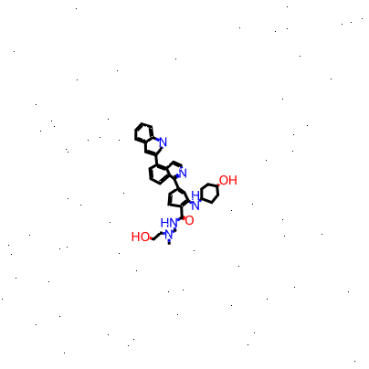 CN(CCO)CNC(=O)c1ccc(-c2nccc3c(-c4cnc5ccccc5c4)cccc23)cc1NC1CCC(O)CC1